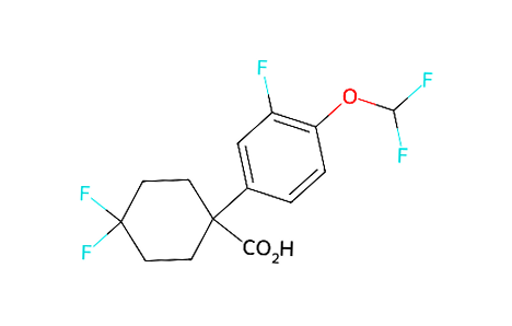 O=C(O)C1(c2ccc(OC(F)F)c(F)c2)CCC(F)(F)CC1